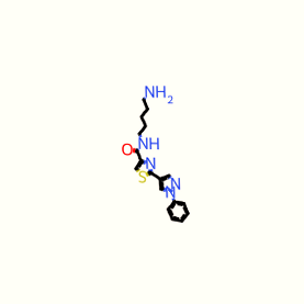 NCCCCCNC(=O)c1csc(-c2cnn(-c3ccccc3)c2)n1